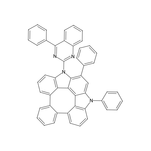 c1ccc(-c2nc(-n3c4cccc5c6ccccc6c6cccc7c6c6c(c54)c3c(-c3ccccc3)cc6n7-c3ccccc3)nc3ccccc23)cc1